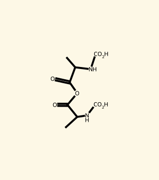 CC(NC(=O)O)C(=O)OC(=O)C(C)NC(=O)O